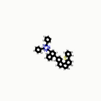 c1ccc(-c2nc(-c3ccccc3)nc(-c3ccc(-c4ccc5c(ccc6ccc7ccc8c9ccccc9sc8c7c65)c4)c4ccccc34)n2)cc1